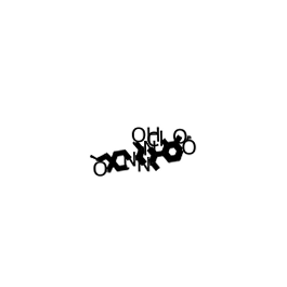 Cc1nc(N2CCC3(CC2)CO[C@@H](C)C3)c(CO)nc1-c1ccc2c(c1Cl)OCO2